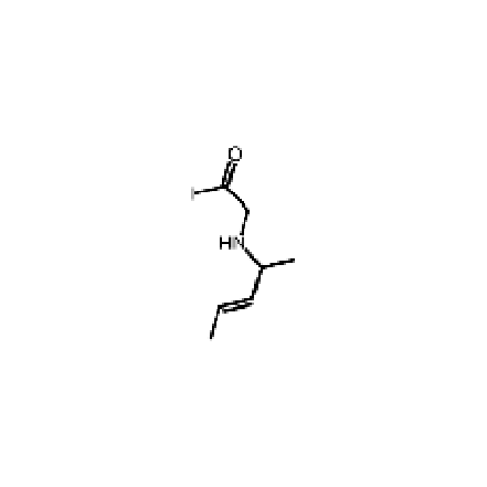 CC=CC(C)NCC(=O)I